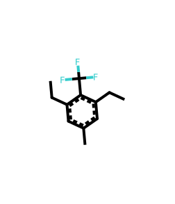 CCc1cc(C)cc(CC)c1C(F)(F)F